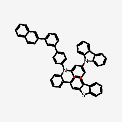 c1cc(-c2ccc(N(c3cccc(-n4c5ccccc5c5ccccc54)c3)c3ccccc3-c3ccc4c(c3)sc3ccccc34)cc2)cc(-c2ccc3ccccc3c2)c1